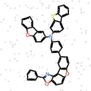 c1ccc(-c2nc3c(ccc4oc5ccc(-c6ccc(N(c7ccc8c(c7)sc7ccccc78)c7ccc8oc9ccccc9c8c7)cc6)cc5c43)o2)cc1